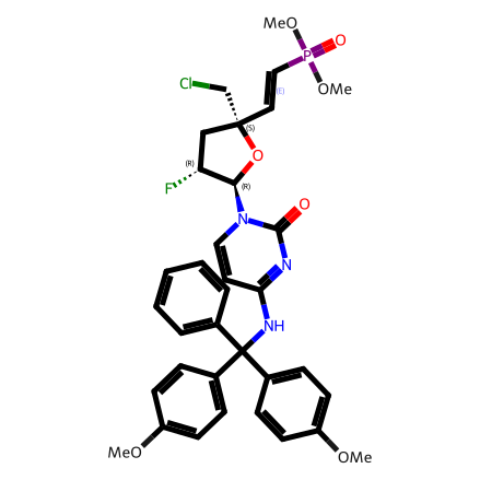 COc1ccc(C(Nc2ccn([C@@H]3O[C@@](/C=C/P(=O)(OC)OC)(CCl)C[C@H]3F)c(=O)n2)(c2ccccc2)c2ccc(OC)cc2)cc1